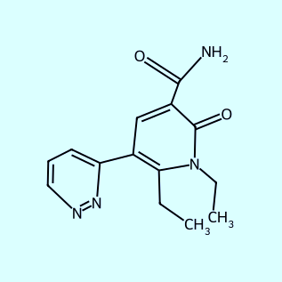 CCc1c(-c2cccnn2)cc(C(N)=O)c(=O)n1CC